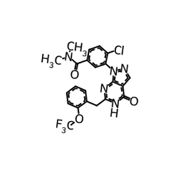 CN(C)C(=O)c1ccc(Cl)c(-n2ncc3c(=O)[nH]c(Cc4ccccc4OC(F)(F)F)nc32)c1